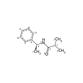 CC(C)C(=O)N[C@@H](C)c1ccccc1